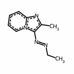 CC/N=N/c1c(C)nc2ccccn12